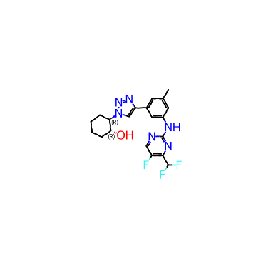 Cc1cc(Nc2ncc(F)c(C(F)F)n2)cc(-c2cn([C@@H]3CCCC[C@H]3O)nn2)c1